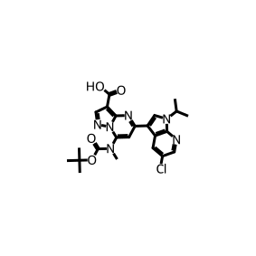 CC(C)n1cc(-c2cc(N(C)C(=O)OC(C)(C)C)n3ncc(C(=O)O)c3n2)c2cc(Cl)cnc21